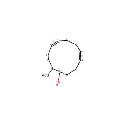 CC(=O)OC1CC/C=C\CC/C=C\CCC1O